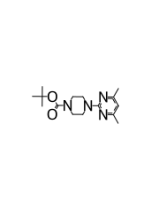 Cc1cc(C)nc(N2CCN(C(=O)OC(C)(C)C)CC2)n1